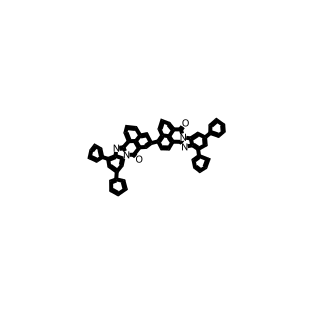 O=c1c2cc(-c3ccc4c5c3cccc5c(=O)n3c5cc(-c6ccccc6)cc(-c6ccccc6)c5nc43)cc3cccc(c32)c2nc3c(-c4ccccc4)cc(-c4ccccc4)cc3n12